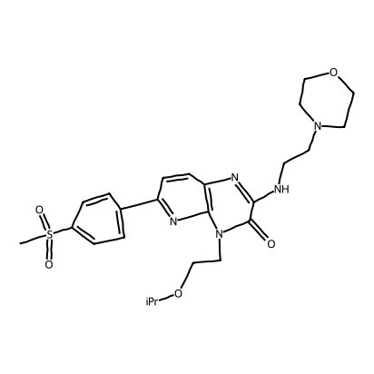 CC(C)OCCn1c(=O)c(NCCN2CCOCC2)nc2ccc(-c3ccc(S(C)(=O)=O)cc3)nc21